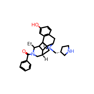 CCC1C2C3[C@@H](CN1C(=O)c1ccccc1)CC31C3Cc4ccc(O)cc4C21CCN3C[C@@H]1CCNC1